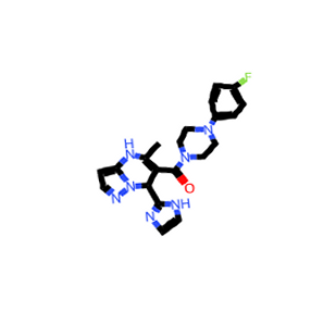 CC1=C(C(=O)N2CCN(c3ccc(F)cc3)CC2)C(c2ncc[nH]2)n2nccc2N1